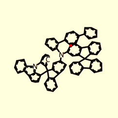 c1ccc(-c2ccc(-c3ccccc3N(c3ccc4c(c3)C3(c5ccccc5-c5ccccc53)c3ccccc3-4)c3ccc4c(c3)C3(c5ccccc5-4)c4ccccc4-n4c5ccccc5c5cccc3c54)cc2)cc1